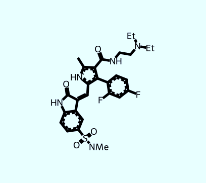 CCN(CC)CCNC(=O)c1c(C)[nH]c(C=C2C(=O)Nc3ccc(S(=O)(=O)NC)cc32)c1-c1ccc(F)cc1F